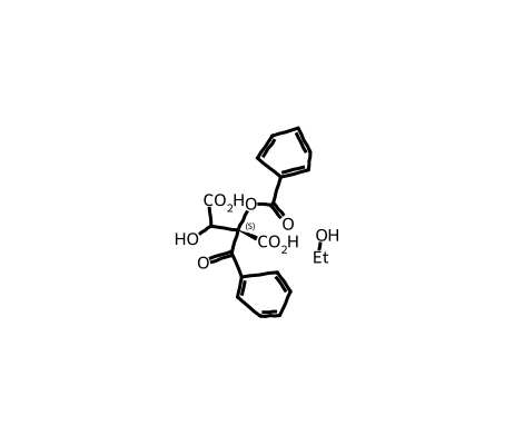 CCO.O=C(O[C@](C(=O)O)(C(=O)c1ccccc1)C(O)C(=O)O)c1ccccc1